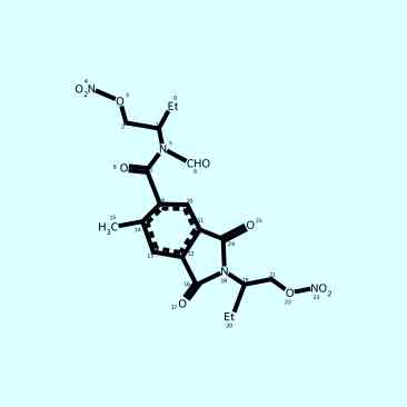 CCC(CO[N+](=O)[O-])N(C=O)C(=O)c1cc2c(cc1C)C(=O)N(C(CC)CO[N+](=O)[O-])C2=O